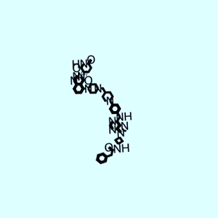 O=C1CC[C@H](n2nnc3cccc(N4CCN(CC5CCN(c6ccc(Nc7ncnc8c7ncn8C7CC(NC(=O)Cc8ccccc8)C7)cc6)CC5)CC4)c3c2=O)C(=O)N1